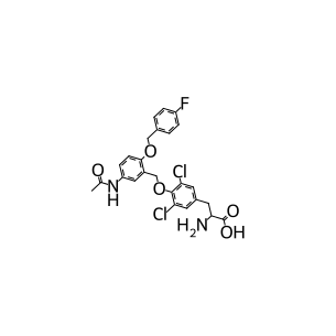 CC(=O)Nc1ccc(OCc2ccc(F)cc2)c(COc2c(Cl)cc(CC(N)C(=O)O)cc2Cl)c1